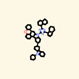 c1ccc(-n2c3ccccc3c3cc(-c4ccc5c(c4)c4c6cccc7c6c(cc4n5-c4nc(-c5cccc6ccccc56)nc(-c5cccc6ccccc56)n4)-c4ccccc4O7)ccc32)cc1